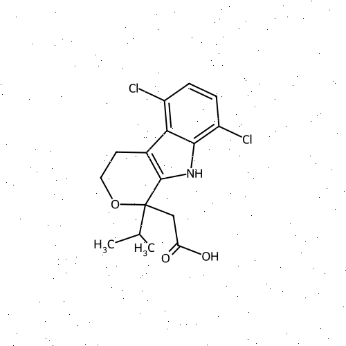 CC(C)C1(CC(=O)O)OCCc2c1[nH]c1c(Cl)ccc(Cl)c21